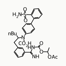 CCCCC(Cc1cccc(C(=N)NC(=O)OC(C)OC(C)=O)c1)N(C(=O)O)c1ccc(-c2ccccc2S(N)(=O)=O)cc1